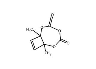 CC12C=CC1(C)OC(=O)OC(=O)O2